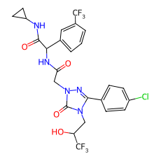 O=C(Cn1nc(-c2ccc(Cl)cc2)n(CC(O)C(F)(F)F)c1=O)NC(C(=O)NC1CC1)c1cccc(C(F)(F)F)c1